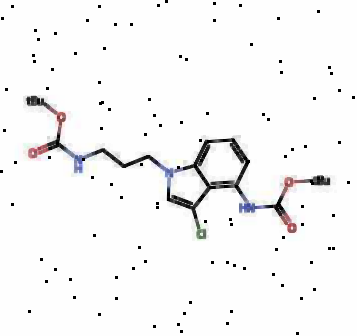 CC(C)(C)OC(=O)NCCCn1cc(Cl)c2c(NC(=O)OC(C)(C)C)cccc21